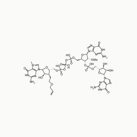 C=CCOCC[C@@H]1[C@@H](COP(=O)(O)OP(=O)(O)OP(=O)(O)OC[C@H]2O[C@@H](n3cnc4c(=O)[nH]c(N)nc43)[C@H](OC)[C@@H]2OP(=O)(O)OC[C@H]2O[C@@H](n3cnc4c(=O)[nH]c(N)nc43)[C@H](O)[C@@H]2O)OC(n2c[n+](C)c3c(=O)[nH]c(N)nc32)[C@@H]1O